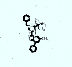 Cc1cc(-c2ccccc2)c2nnc([C@@H](COCc3ccccc3)NC(=O)C(C)(C)N)n2c1